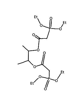 CCOP(=O)(CC(=O)OC(C)C(C)OC(=O)CP(=O)(OCC)OCC)OCC